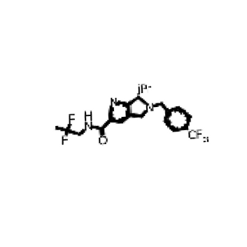 CC(C)[C@H]1c2ncc(C(=O)NCC(C)(F)F)cc2CN1Cc1ccc(C(F)(F)F)cc1